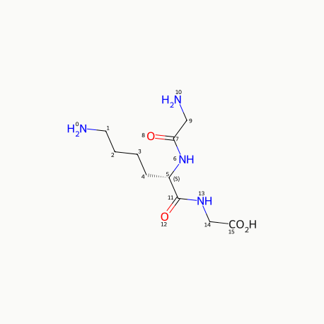 NCCCC[C@H](NC(=O)CN)C(=O)NCC(=O)O